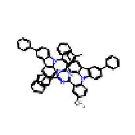 Cc1ccc(-n2c3ccc(-c4ccccc4)cc3c3cc(-c4ccccc4)ccc32)c(-c2nc(-c3ccccc3)nc(-c3cc(C(F)(F)F)ccc3-n3c4ccc(-c5ccccc5)cc4c4cc(-c5ccccc5)ccc43)n2)c1